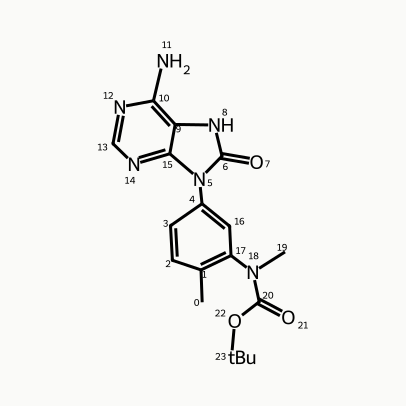 Cc1ccc(-n2c(=O)[nH]c3c(N)ncnc32)cc1N(C)C(=O)OC(C)(C)C